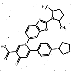 CC1CCC(C)N1c1nc2ccc(-n3cc(C(=O)O)c(=O)cc3-c3ccc(N4CCCC4)cc3)cc2o1